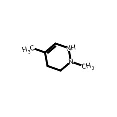 CC1=CNN(C)CC1